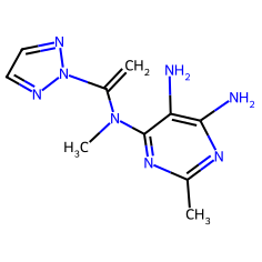 C=C(N(C)c1nc(C)nc(N)c1N)n1nccn1